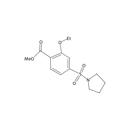 CCOc1cc(S(=O)(=O)N2CCCC2)ccc1C(=O)OC